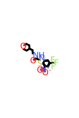 O=C(NCCC1CCOCC1)c1nc2cc(C(F)(F)F)cc([N+](=O)[O-])c2s1